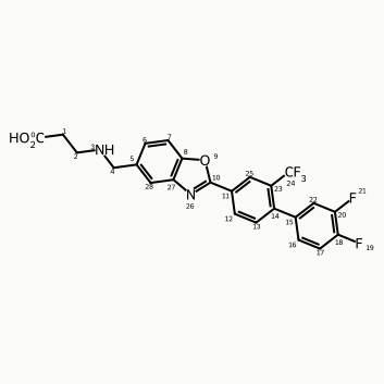 O=C(O)CCNCc1ccc2oc(-c3ccc(-c4ccc(F)c(F)c4)c(C(F)(F)F)c3)nc2c1